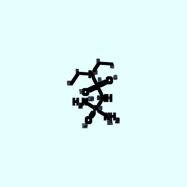 CCN(CC)S(=O)(=O)NP(N)(N)=O